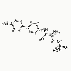 CCCCc1ccc(-c2ccc(NC(=O)[C@@H](N)CO[PH](=O)O)cc2)cc1